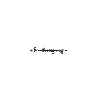 O=C(O)CCCCCCCC(=O)OCCCCCCOC(=O)CCCCCCCC(=O)O